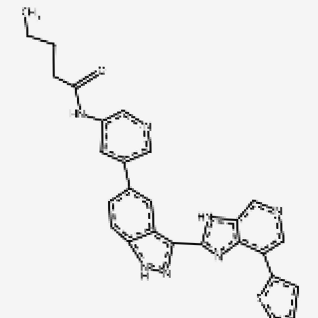 CCCCC(=O)Nc1cncc(-c2ccc3[nH]nc(-c4nc5c(-c6cccs6)cncc5[nH]4)c3c2)c1